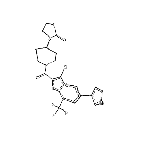 O=C(c1nc2c(C(F)(F)F)cc(-c3cc[nH]c3)cn2c1Cl)N1CCC(N2CCOC2=O)CC1